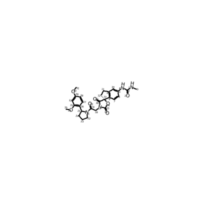 CNC(=O)Nc1ccc2c(c1)CC[C@@]21OC(=O)N(CC(=O)N2CCCC2c2ccc(OC)cc2OC)C1=O